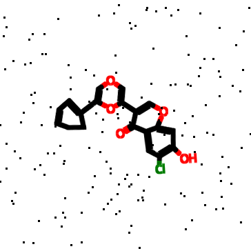 O=c1c(C2=COC=C(C3=CC=CCC3)O2)coc2cc(O)c(Cl)cc12